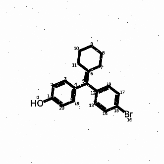 Oc1ccc(C(=C2CCCCC2)c2ccc(Br)cc2)cc1